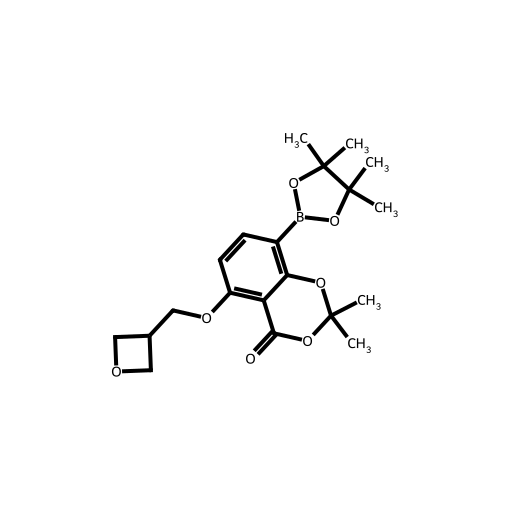 CC1(C)OC(=O)c2c(OCC3COC3)ccc(B3OC(C)(C)C(C)(C)O3)c2O1